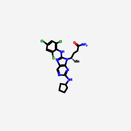 CCCC[C@@H](CCC(N)=O)n1c(Nc2c(Cl)cc(Cl)cc2Cl)nc2cnc(NC3CCCC3)nc21